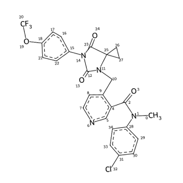 CN(C(=O)c1cnccc1CN1C(=O)N(c2ccc(OC(F)(F)F)cc2)C(=O)C12CC2)c1ccc(Cl)cc1